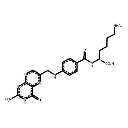 CC(=O)NCCCC[C@H](NC(=O)c1ccc(NCc2cnc3nc(N)[nH]c(=O)c3n2)cc1)C(=O)O